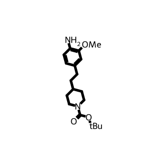 COc1cc(CCC2CCN(C(=O)OC(C)(C)C)CC2)ccc1N